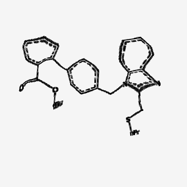 CCCSCc1nc2ccccc2n1Cc1ccc(-c2ccccc2C(=O)OC(C)(C)C)cc1